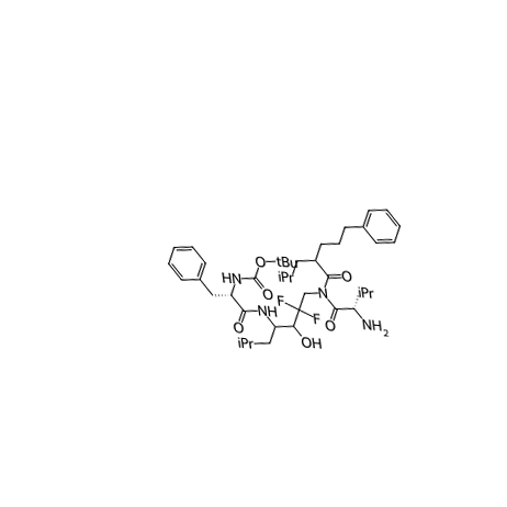 CC(C)CC(CCCc1ccccc1)C(=O)N(CC(F)(F)C(O)C(CC(C)C)NC(=O)[C@H](Cc1ccccc1)NC(=O)OC(C)(C)C)C(=O)[C@@H](N)C(C)C